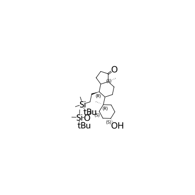 CC(C)(C)[Si](C)(C)CC[C@H]1C2CCC(=O)[C@@]2(C)CCC1[C@@]1(C)CC[C@H](O)C[C@@H]1CO[Si](C)(C)C(C)(C)C